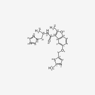 Cc1ncc(COc2ccc3oc(C)c(C(=O)NC(C)Cn4cncn4)c3c2)s1